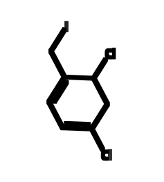 ClC1=CC=C(CI)C(Cl)C1